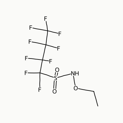 CCONS(=O)(=O)C(F)(F)C(F)(F)C(F)(F)C(F)(F)F